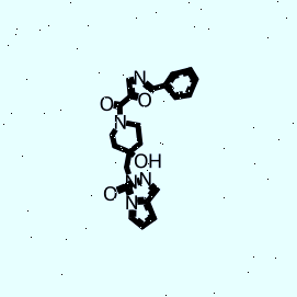 O=C(c1cnc(-c2ccccc2)o1)N1CCC(O)(Cn2ncc3cccn3c2=O)CC1